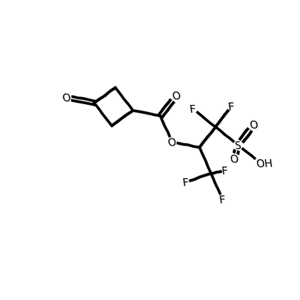 O=C1CC(C(=O)OC(C(F)(F)F)C(F)(F)S(=O)(=O)O)C1